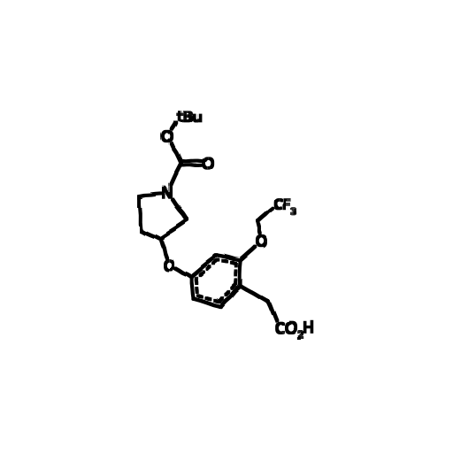 CC(C)(C)OC(=O)N1CCC(Oc2ccc(CC(=O)O)c(OCC(F)(F)F)c2)C1